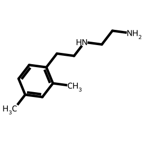 Cc1ccc(CCNCCN)c(C)c1